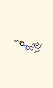 C=C/C=C\C1=CC(C)/C(CC2CCC2)=C/C=C/C(C(/C=C\c2ccc(C3=CC=CCC=C3)cc2)=C/CCNc2ccc(CCC)cc2)=C\1